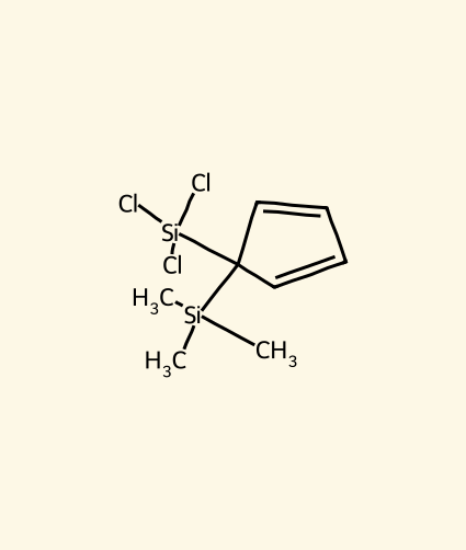 C[Si](C)(C)C1([Si](Cl)(Cl)Cl)C=CC=C1